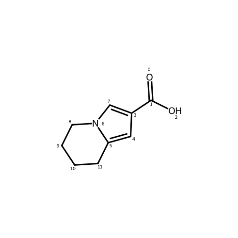 O=C(O)c1cc2n(c1)CCCC2